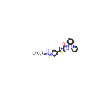 CCOC(=O)CNC(=S)N1CCC(c2nc(C(=O)Nc3ccccc3N3CCCCC3)cs2)CC1